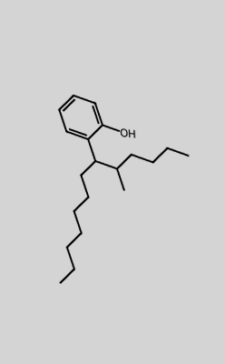 CCCCCCCC(c1ccccc1O)C(C)CCCC